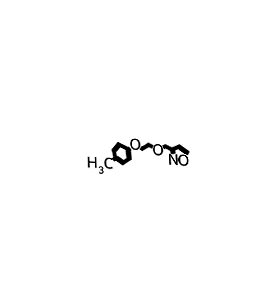 Cc1ccc(OCCOCc2ccon2)cc1